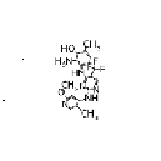 COc1cc(Nc2ncc(C(F)(F)F)c(Nc3ccc(C)c(O)c3N)n2)c(C)cn1